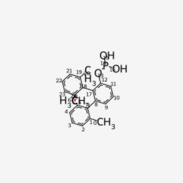 Cc1cccc(C)c1-c1cccc(OP(O)O)c1-c1c(C)cccc1C